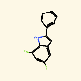 Fc1cc(F)c2[nH]c(-c3ccccc3)cc2c1